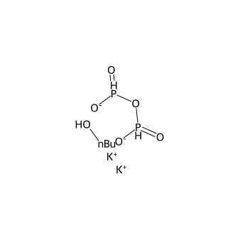 CCCCO.O=[PH]([O-])O[PH](=O)[O-].[K+].[K+]